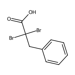 O=C(O)C(Br)(Br)Cc1ccccc1